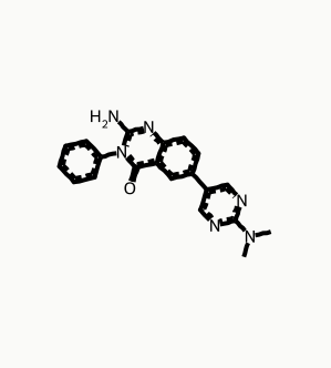 CN(C)c1ncc(-c2ccc3nc(N)n(-c4ccccc4)c(=O)c3c2)cn1